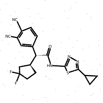 N#Cc1ccc([C@H](C(=O)Nc2nnc(C3CC3)s2)[C@H]2CCC(F)(F)C2)cc1C#N